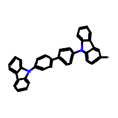 [CH2]c1ccc2c(c1)c1ccccc1n2-c1ccc(-c2ccc(-n3c4ccccc4c4ccccc43)cc2)cc1